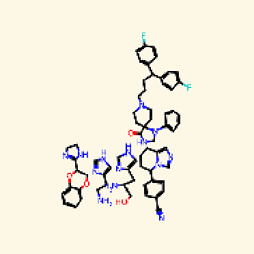 N#Cc1ccc(C2CCCc3cncn32)cc1.NC(CO)Cc1c[nH]cn1.NCCc1c[nH]cn1.O=C1NCN(c2ccccc2)C12CCN(CCCC(c1ccc(F)cc1)c1ccc(F)cc1)CC2.c1ccc2c(c1)OCC(C1=NCCN1)O2